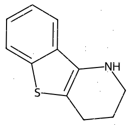 c1ccc2c3c(sc2c1)CCCN3